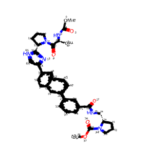 COC(=O)N[C@H](C(=O)N1CCC[C@H]1c1nc(-c2ccc3cc(-c4cccc(C(=O)NC[C@@H]5CCCN5C(=O)OC(C)(C)C)c4)ccc3c2)c[nH]1)C(C)(C)C